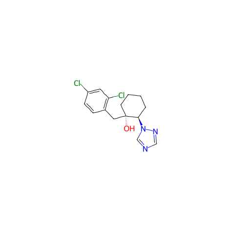 O[C@]1(Cc2ccc(Cl)cc2Cl)CCCC[C@H]1n1cncn1